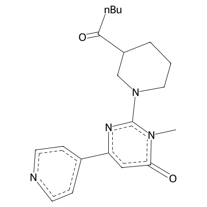 CCCCC(=O)C1CCCN(c2nc(-c3ccncc3)cc(=O)n2C)C1